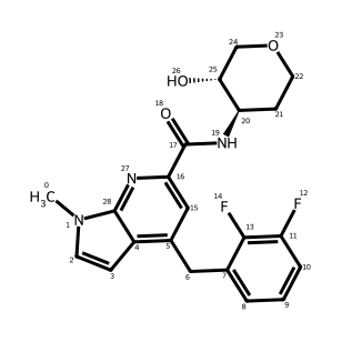 Cn1ccc2c(Cc3cccc(F)c3F)cc(C(=O)N[C@@H]3CCOC[C@H]3O)nc21